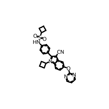 N#Cc1c(-c2ccc(NS(=O)(=O)C3CCC3)cc2)n(C2CCC2)c2ccc(Oc3ncccn3)cc12